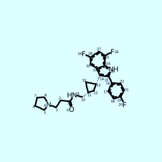 O=C(CCN1CCCC1)NC[C@H]1C[C@@H](c2c(-c3ccc(F)cc3)[nH]c3c(F)cc(F)cc32)C1